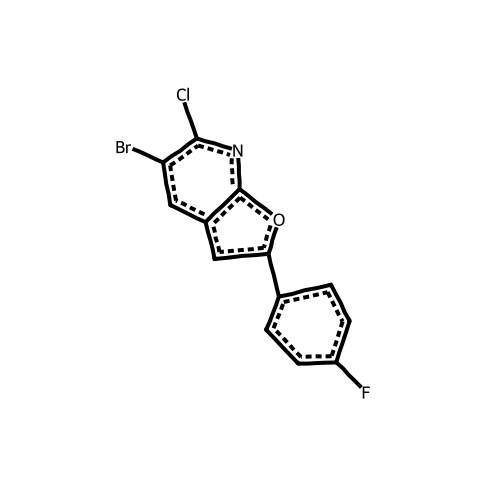 Fc1ccc(-c2cc3cc(Br)c(Cl)nc3o2)cc1